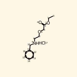 CCOC(=O)COCCNCc1ccccc1.Cl